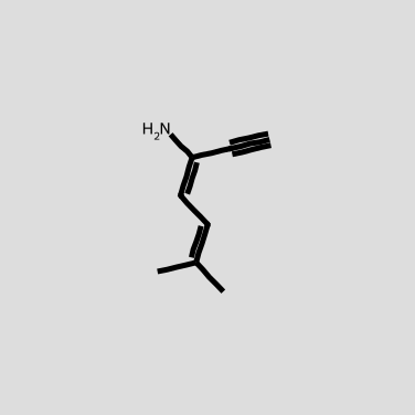 C#C/C(N)=C\C=C(C)C